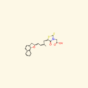 CC(=CC=C1Cc2ccc3ccccc3c2O1)C=C1SC(=S)N(CC(=O)O)C1=O